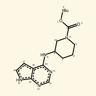 CC(C)(C)OC(=O)N1CCCC(Nc2ncnc3[nH]ccc23)C1